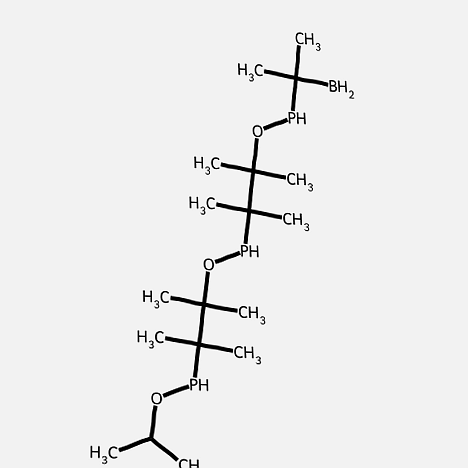 BC(C)(C)POC(C)(C)C(C)(C)POC(C)(C)C(C)(C)POC(C)C